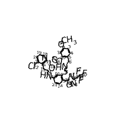 COc1ccc(CNSc2cc(NC(=O)Cc3ccccc3Cl)ccc2-c2nc(C(F)(F)F)no2)c(OC)c1